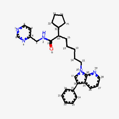 O=C(NCc1ccncn1)C(CCCCCn1cc(-c2ccccc2)c2cccnc21)C1CCCC1